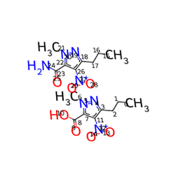 CCCc1nn(C)c(C(=O)O)c1[N+](=O)[O-].CCCc1nn(C)c(C(N)=O)c1[N+](=O)[O-]